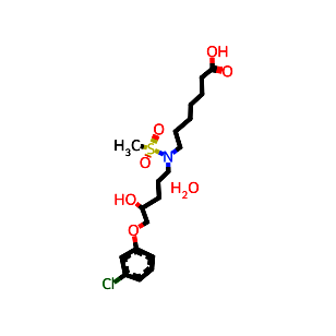 CS(=O)(=O)N(CCCCCCC(=O)O)CCCC(O)COc1cccc(Cl)c1.O